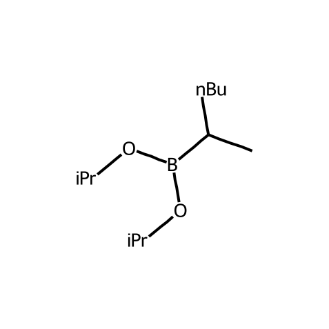 CCCCC(C)B(OC(C)C)OC(C)C